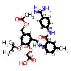 CC(=O)OCc1cc(CNc2ccc(C)cc2C(=O)Nc2ccc(C(=N)N)cc2)c(OCC(=O)O)c(OC(C)C)c1